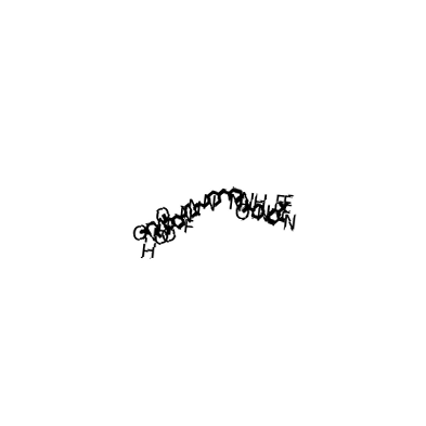 N#Cc1ccc(N2CCC(C(=O)Nc3ccc(CC4CCN(CCN5CCN(c6cc7c(cc6F)C(=O)N(C6CCC(=O)NC6=O)C7=O)CC5)CC4)cn3)CC2)cc1C(F)(F)F